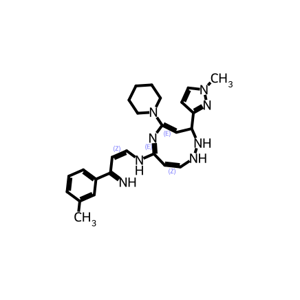 Cc1cccc(C(=N)/C=C\NC2=N/C(N3CCCCC3)=C/C(c3ccn(C)n3)NN/C=C\2)c1